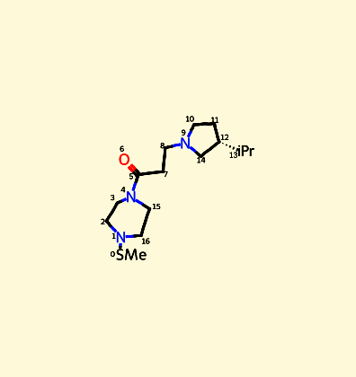 CSN1CCN(C(=O)CCN2CC[C@H](C(C)C)C2)CC1